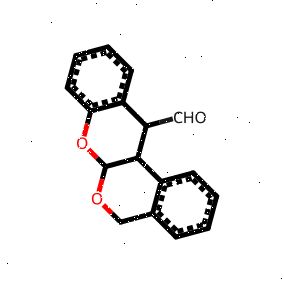 O=CC1c2ccccc2OC2OCc3ccccc3C21